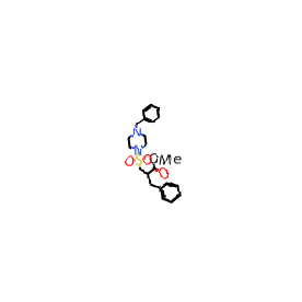 COC(=O)C(Cc1ccccc1)CS(=O)(=O)N1CCN(Cc2ccccc2)CC1